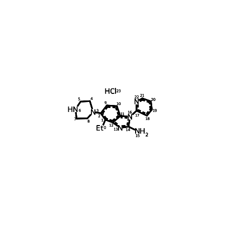 CCc1c(N2CCNCC2)ccc2c1nc(N)n2-c1ccccn1.Cl